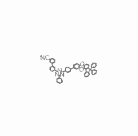 N#Cc1cccc(-c2cccc(-c3nc(-c4ccccc4)nc(-c4ccc(-c5ccc6c(c5)Oc5c(ccc7c5-c5ccccc5C7(c5ccccc5)c5ccccc5)O6)cc4)n3)c2)c1